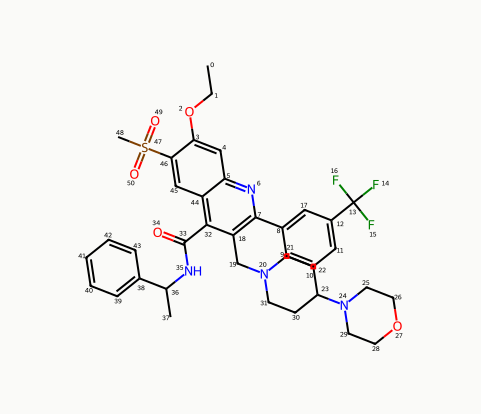 CCOc1cc2nc(-c3cccc(C(F)(F)F)c3)c(CN3CCC(N4CCOCC4)CC3)c(C(=O)NC(C)c3ccccc3)c2cc1S(C)(=O)=O